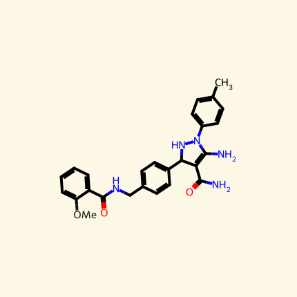 COc1ccccc1C(=O)NCc1ccc(C2NN(c3ccc(C)cc3)C(N)=C2C(N)=O)cc1